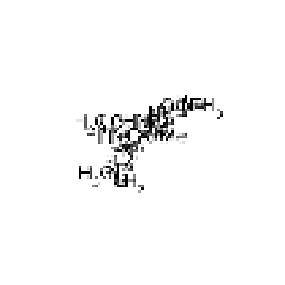 C=CC(=O)Nc1cc(Nc2nccc(OC3CN(C)C3)n2)c(OC)cc1N1CCC(N(C)C)CC1